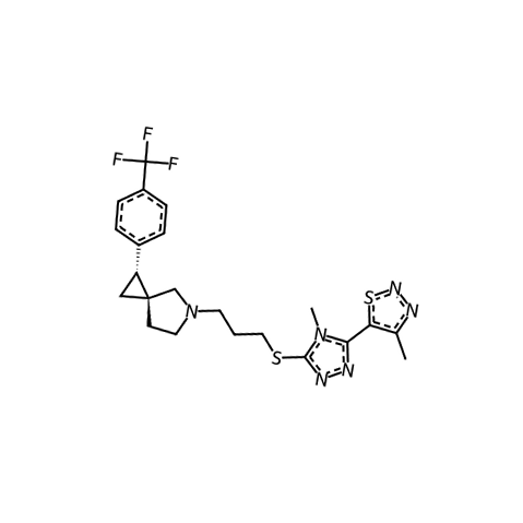 Cc1nnsc1-c1nnc(SCCCN2CC[C@]3(C[C@@H]3c3ccc(C(F)(F)F)cc3)C2)n1C